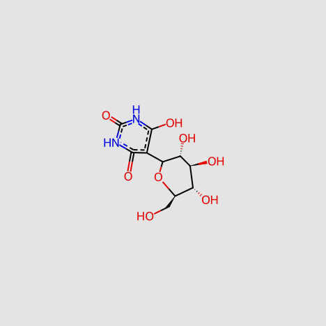 O=c1[nH]c(O)c(C2O[C@H](CO)[C@@H](O)[C@H](O)[C@H]2O)c(=O)[nH]1